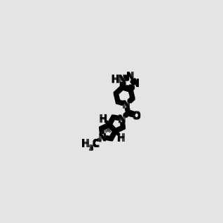 CN1C[C@@H]2CN(C(=O)N3CCc4[nH]nnc4C3)C[C@@H]2C1